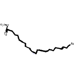 CC(=O)CCCCCCCC/C=C\CCCCCCCC(=O)OS(=O)(=O)O